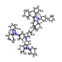 c1ccc(-c2ccc(-n3c(-c4ccccc4)c(-c4ccccc4)c4ccc5c(-c6ccc(N(c7ccc(N(c8ccccc8)c8ccccc8)cc7)c7ccc8c(c7)c7ccccc7n8-c7ccccc7)cc6)cccc5c43)cc2)cc1